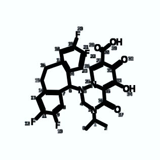 CC(C)N1CN(C2c3cc(F)c(F)cc3CCc3cc(F)c(F)cc32)n2cc(C(=O)O)c(=O)c(O)c2C1=O